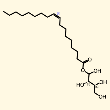 CCCCCCCC/C=C\CCCCCCCC(=O)OC(O)[C@@H](O)[C@@H](O)CO